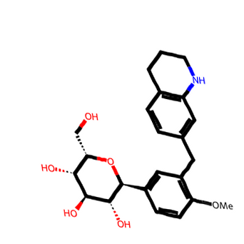 COc1ccc([C@@H]2O[C@@H](CO)[C@@H](O)[C@H](O)[C@H]2O)cc1Cc1ccc2c(c1)NCCC2